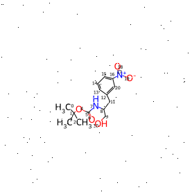 CC(C)(C)OC(=O)NC(CO)Cc1cccc([N+](=O)[O-])c1